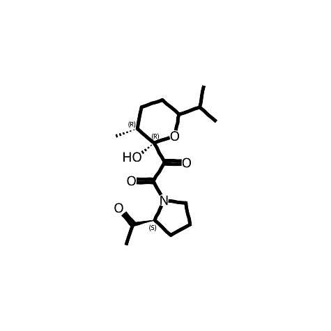 CC(=O)[C@@H]1CCCN1C(=O)C(=O)[C@]1(O)OC(C(C)C)CC[C@H]1C